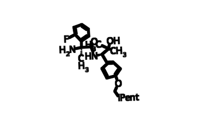 CCCC(C)COc1ccc([C@@H](NC(=O)[C@@](C)(N)c2ccccc2F)C(C)(C)O)cc1